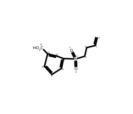 C=CCCS(=O)(=O)c1cccc(C(=O)O)c1